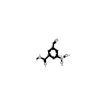 COC(=O)c1cc(C=O)cc([N+](=O)[O-])c1